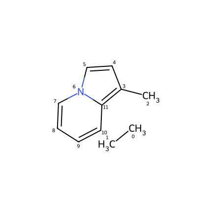 CC.Cc1ccn2ccccc12